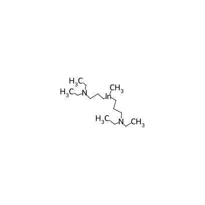 CCN(CC)CC[CH2][In]([CH3])[CH2]CCN(CC)CC